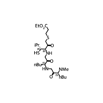 CCCC[C@H](NC)C(=O)CN[C@@H](CCCC)C(=O)CN[C@H](C(=O)CSCCC(=O)OCC)[C@H](S)C(C)C